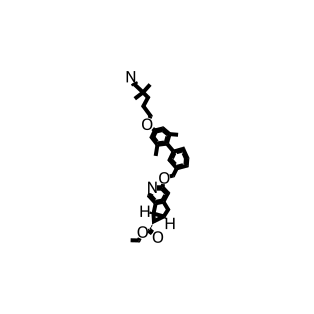 CCOC(=O)[C@H]1[C@@H]2Cc3cc(OCc4cccc(-c5c(C)cc(OCCCC(C)(C)C#N)cc5C)c4)ncc3[C@H]21